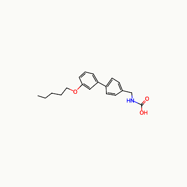 CCCCCOc1cccc(-c2ccc(CNC(=O)O)cc2)c1